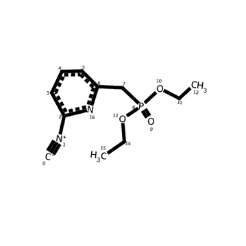 [C-]#[N+]c1cccc(CP(=O)(OCC)OCC)n1